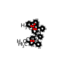 CC(C)(C)c1ccc(-c2ccccc2N2c3cccc4c3B(C3=CC=CCC32)C2C=CC(N3c5ccccc5C5C=CC=CC53)=CC2N4c2ccccc2-c2ccc(C(C)(C)C)cc2)cc1